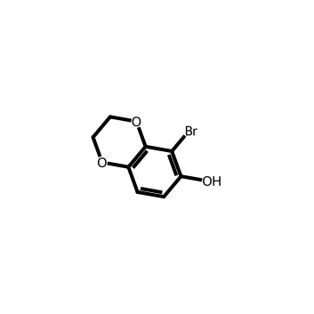 Oc1ccc2c(c1Br)OCCO2